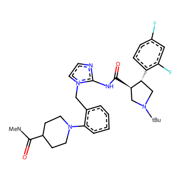 CNC(=O)C1CCN(c2ccccc2Cn2ccnc2NC(=O)[C@@H]2CN(C(C)(C)C)C[C@H]2c2ccc(F)cc2F)CC1